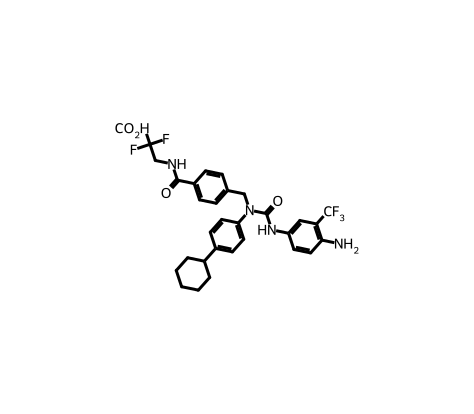 Nc1ccc(NC(=O)N(Cc2ccc(C(=O)NCC(F)(F)C(=O)O)cc2)c2ccc(C3CCCCC3)cc2)cc1C(F)(F)F